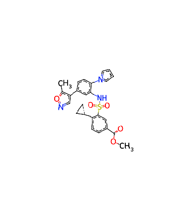 COC(=O)c1ccc(C2CC2)c(S(=O)(=O)Nc2cc(-c3cnoc3C)ccc2-n2cccc2)c1